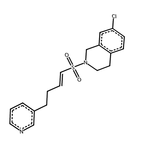 O=S(=O)(C=CCCc1cccnc1)N1CCc2ccc(Cl)cc2C1